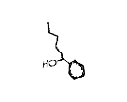 CCCCCC(O)c1[c]cccc1